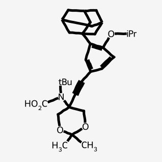 CC(C)Oc1ccc(C#CC2(N(C(=O)O)C(C)(C)C)COC(C)(C)OC2)cc1C12CC3CC(CC(C3)C1)C2